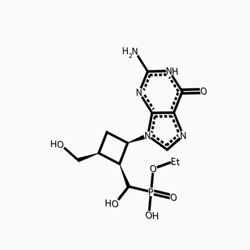 CCOP(=O)(O)C(O)[C@H]1[C@@H](CO)C[C@H]1n1cnc2c(=O)[nH]c(N)nc21